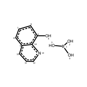 OB(O)O.Oc1cccc2cccnc12